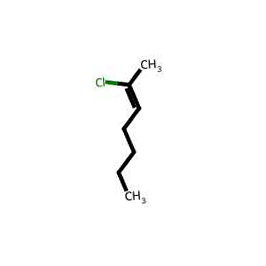 CCCCC=C(C)Cl